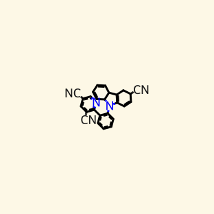 N#Cc1cnc(-c2ccccc2N2C3=C(CC(C#N)C=C3)C3C=CC=CC32)c(C#N)c1